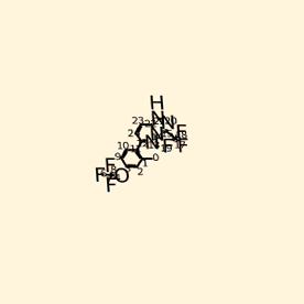 Cc1cc(OC(F)(F)F)ccc1C1=NN2C(C(F)(F)F)=NNC2C=C1